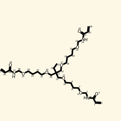 C=CC(=O)NCOCCCCOCC(CC)(COCCCCOCNC(=O)C=C)COCCCCOCNC(=O)C=C